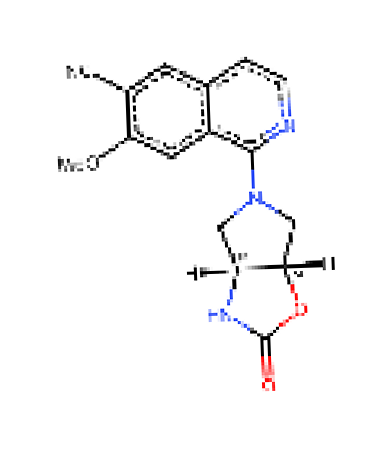 COc1cc2c(N3C[C@@H]4OC(=O)N[C@@H]4C3)nccc2cc1C#N